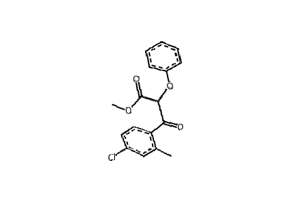 COC(=O)C(Oc1ccccc1)C(=O)c1ccc(Cl)cc1C